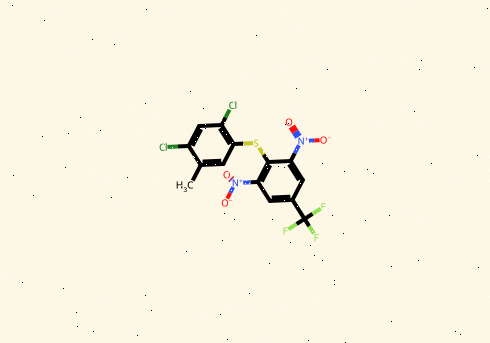 Cc1cc(Sc2c([N+](=O)[O-])cc(C(F)(F)F)cc2[N+](=O)[O-])c(Cl)cc1Cl